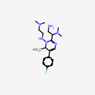 CN(C)CCNN1C(C(CN)N(C)C)=NC=C(c2ccc(F)cc2)C1C(=O)O